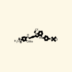 COc1cc(S(C)(=O)=O)ccc1NCC#Cc1cc2c(Nc3ccc(N4CC5(COC5)C4)cc3)cccc2n1CC(F)(F)F